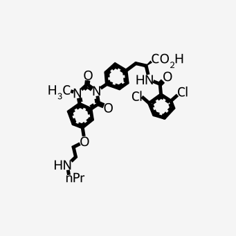 CCCNCCOc1ccc2c(c1)c(=O)n(-c1ccc(C[C@H](NC(=O)c3c(Cl)cccc3Cl)C(=O)O)cc1)c(=O)n2C